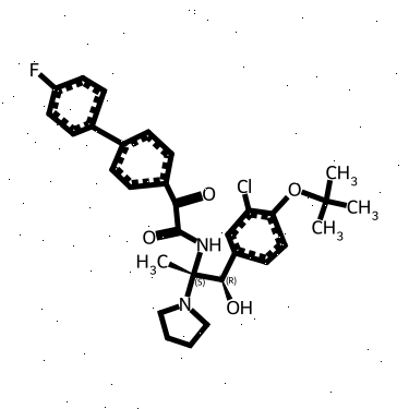 CC(C)(C)Oc1ccc([C@@H](O)[C@@](C)(NC(=O)C(=O)c2ccc(-c3ccc(F)cc3)cc2)N2CCCC2)cc1Cl